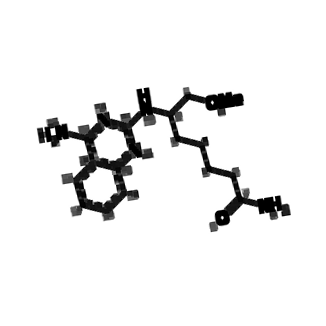 COCC(CCCCC(N)=O)Nc1nc(N)c2ccccc2n1